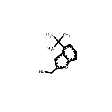 CC(C)(N)c1cccc2oc(CO)cc12